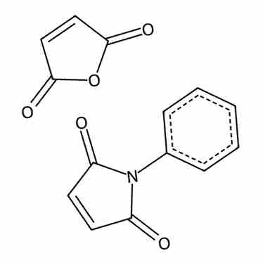 O=C1C=CC(=O)N1c1ccccc1.O=C1C=CC(=O)O1